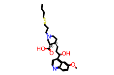 CCCCSCCCN1CC[C@@H](CC[C@@H](O)c2ccnc3ccc(OC)cc23)[C@@H](C(=O)O)C1